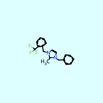 CC1N(Cc2ccccc2)C=CN1Cc1ccccc1C(F)(F)F